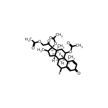 CC(=O)OCC(=O)[C@@]1(OC(C)=O)C(C)C[C@H]2[C@@H]3CC(F)C4=CC(=O)C=C[C@]4(C)[C@@]3(F)C(OC(C)=O)C[C@@]21C